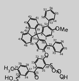 COc1ccc(C2(c3ccc(Oc4ccc(C(=O)c5ccc(C)c(S(=O)(=O)O)c5)cc4SOOO)c(-c4ccccc4)c3)c3ccccc3-c3ccccc32)cc1-c1ccccc1